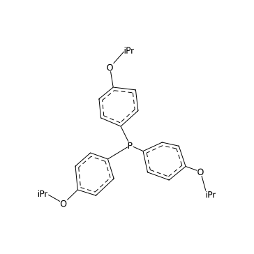 CC(C)Oc1ccc(P(c2ccc(OC(C)C)cc2)c2ccc(OC(C)C)cc2)cc1